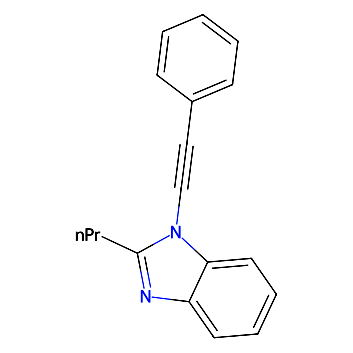 CCCc1nc2ccccc2n1C#Cc1ccccc1